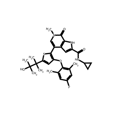 Cc1cc(F)cc(C)c1Oc1cc(C(C)(C)C(C)(C)O)sc1-c1cn(C)c(=O)c2[nH]c(C(=O)NC3CC3)cc12